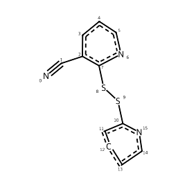 N#Cc1cccnc1SSc1ccccn1